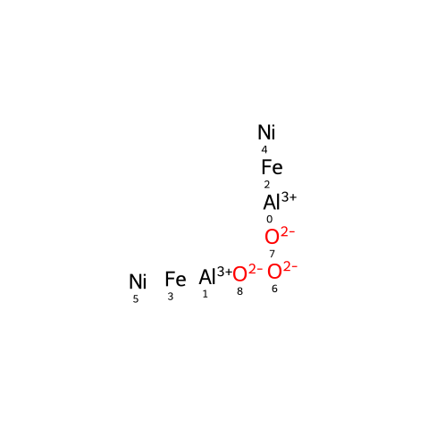 [Al+3].[Al+3].[Fe].[Fe].[Ni].[Ni].[O-2].[O-2].[O-2]